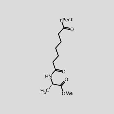 CCCCCC(=O)CCCCCC(=O)N[C@@H](C)C(=O)OC